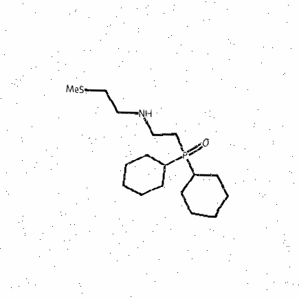 CSCCNCCP(=O)(C1CCCCC1)C1CCCCC1